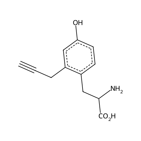 C#CCc1cc(O)ccc1CC(N)C(=O)O